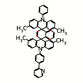 Cc1ccc2c(c1)C1(c3cc(C)ccc3N2c2ccccc2)c2ccccc2C2(c3cc(C)ccc3N(c3ccc(-c4ccccn4)cc3)c3ccc(C)cc32)c2ccccc21